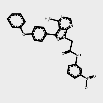 Nc1ncnc2c1c(-c1ccc(Oc3ccccc3)cc1)nn2CC(=O)Nc1cccc([N+](=O)[O-])c1